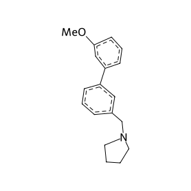 COc1cccc(-c2cccc(CN3CCCC3)c2)c1